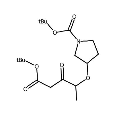 CC(OC1CCN(C(=O)OC(C)(C)C)C1)C(=O)CC(=O)OC(C)(C)C